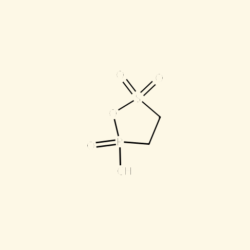 CP1(=O)CCS(=O)(=O)O1